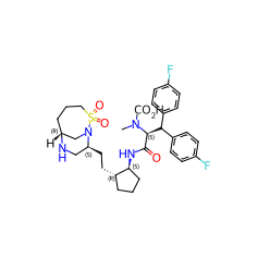 CN(C(=O)O)[C@H](C(=O)N[C@H]1CCC[C@@H]1CC[C@H]1CN[C@@H]2CCCS(=O)(=O)N1C2)C(c1ccc(F)cc1)c1ccc(F)cc1